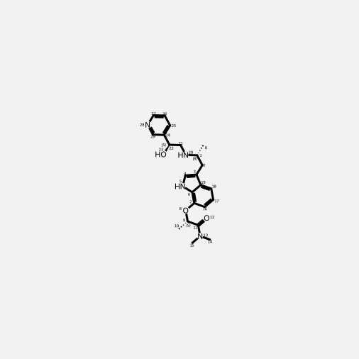 C[C@H](Cc1c[nH]c2c(O[C@@H](C)C(=O)N(C)C)cccc12)NC[C@@H](O)c1cccnc1